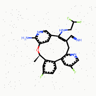 C[C@H]1Oc2cc(cnc2N)/C(NCC(F)F)=C(/C=N)Cc2ncc(F)cc2-c2ccc(F)cc21